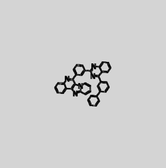 c1ccc(-c2cccc(-c3nc(-c4cccc(-c5nc6ccccc6c6nc7ccccn7c56)c4)nc4ccccc34)c2)cc1